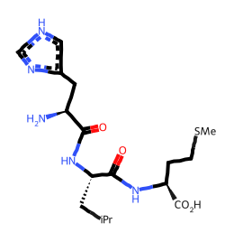 CSCC[C@H](NC(=O)[C@H](CC(C)C)NC(=O)[C@@H](N)Cc1c[nH]cn1)C(=O)O